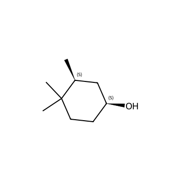 C[C@H]1C[C@@H](O)CCC1(C)C